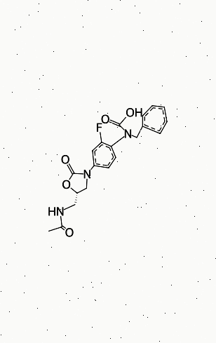 CC(=O)NC[C@H]1CN(c2ccc(N(Cc3ccccc3)C(=O)O)c(F)c2)C(=O)O1